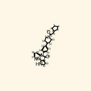 O=C(CC1CCCC1)N1CCC(c2ccc(N(C(=O)[C@H]3CCNC3)c3cccnn3)cc2)CC1